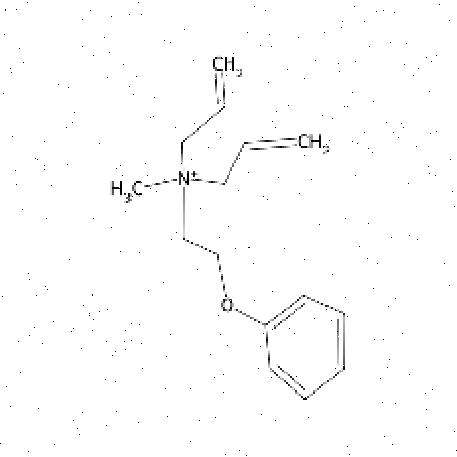 C=CC[N+](C)(CC=C)CCOc1ccccc1